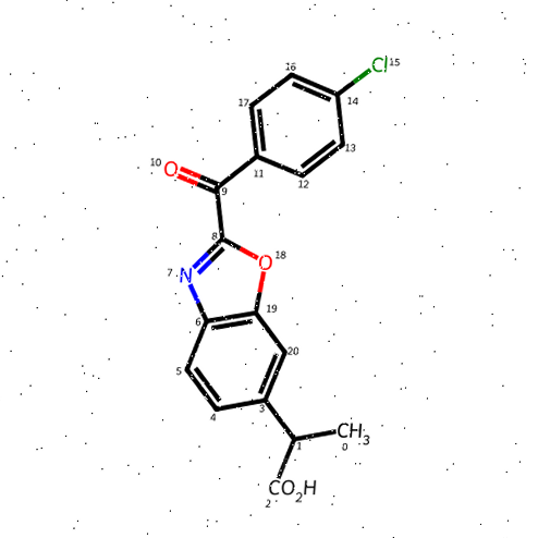 CC(C(=O)O)c1ccc2nc(C(=O)c3ccc(Cl)cc3)oc2c1